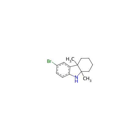 CC12CCCCC1(C)c1cc(Br)ccc1N2